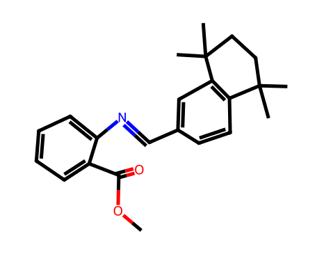 COC(=O)c1ccccc1N=Cc1ccc2c(c1)C(C)(C)CCC2(C)C